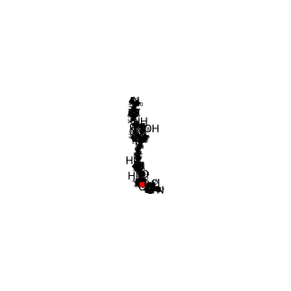 Cc1ncsc1-c1ccc([C@H](C)NC(=O)[C@@H]2CC(O)CN2C(=O)[C@H](C(C)C)n2nccc2OCCCCCNc2ccc(C(=O)N[C@H]3C(C)(C)[C@H](Oc4ccc(C#N)c(Cl)c4)C3(C)C)cc2)cc1